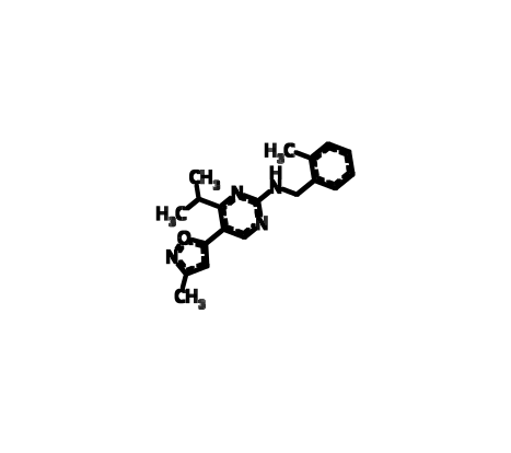 Cc1cc(-c2cnc(NCc3ccccc3C)nc2C(C)C)on1